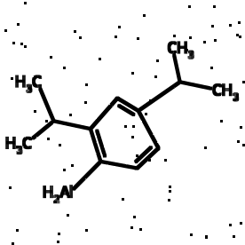 CC(C)c1cc[c]([AlH2])c(C(C)C)c1